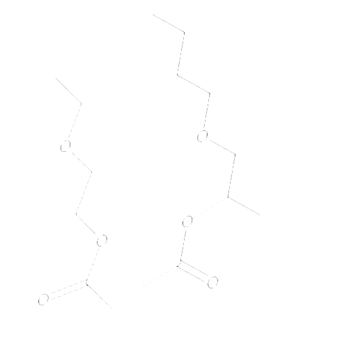 CCCCOCC(C)OC(C)=O.CCOCCOC(C)=O